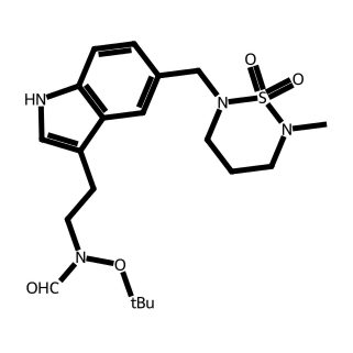 CN1CCCN(Cc2ccc3[nH]cc(CCN(C=O)OC(C)(C)C)c3c2)S1(=O)=O